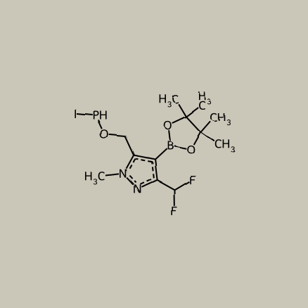 Cn1nc(C(F)F)c(B2OC(C)(C)C(C)(C)O2)c1COPI